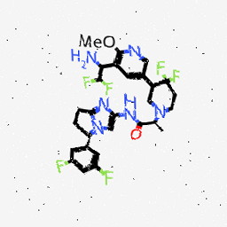 COc1ncc(C2CN([C@@H](C)C(=O)Nc3cn4c(n3)CC[C@@H]4c3cc(F)cc(F)c3)CCC2(F)F)cc1C(N)C(F)F